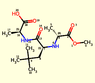 COC(=O)[C@@H](C)N[C@@H](CC(C)(C)C)C(=O)N[C@@H](C)C(=O)O